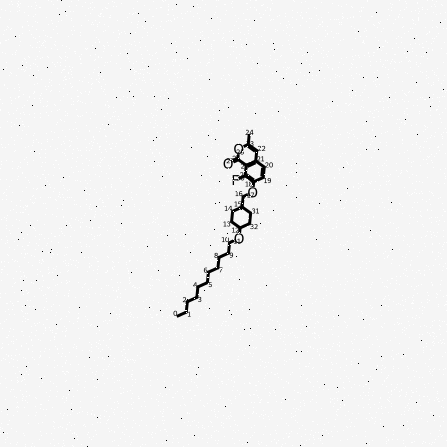 CCCCCCCCCCCOC1CCC(COc2ccc3cc(C)oc(=O)c3c2F)CC1